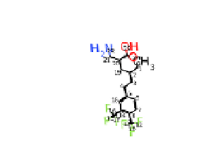 CCC(CCc1ccc(C(F)(F)F)c(C(F)(F)F)c1)CC(CN)C(=O)O